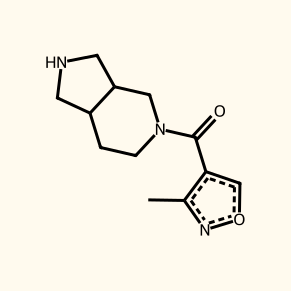 Cc1nocc1C(=O)N1CCC2CNCC2C1